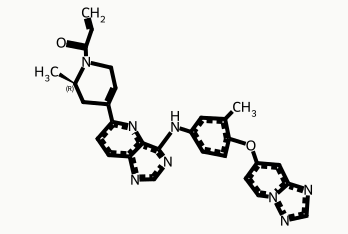 C=CC(=O)N1CC=C(c2ccc3ncnc(Nc4ccc(Oc5ccn6ncnc6c5)c(C)c4)c3n2)C[C@H]1C